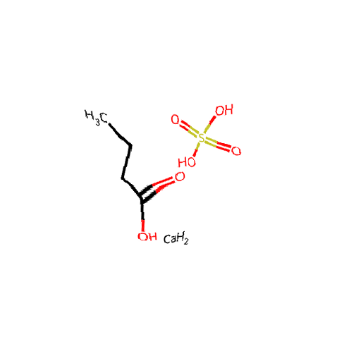 CCCC(=O)O.O=S(=O)(O)O.[CaH2]